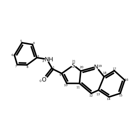 O=C(Nc1ccccc1)c1cc2cc3ccccc3nc2s1